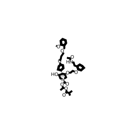 COc1ccccc1COCCCOc1ccc([C@H]2[C@H](O)CN(C(=O)OC(C)OC(=O)C(C)C)C[C@@H]2OCCOc2ccccc2CCNC(C)=O)cc1